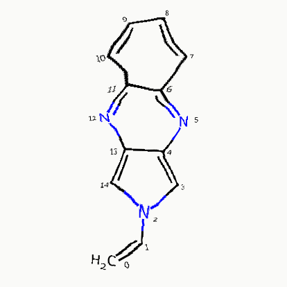 C=Cn1cc2nc3ccccc3nc2c1